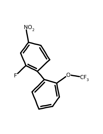 O=[N+]([O-])c1ccc(-c2ccccc2OC(F)(F)F)c(F)c1